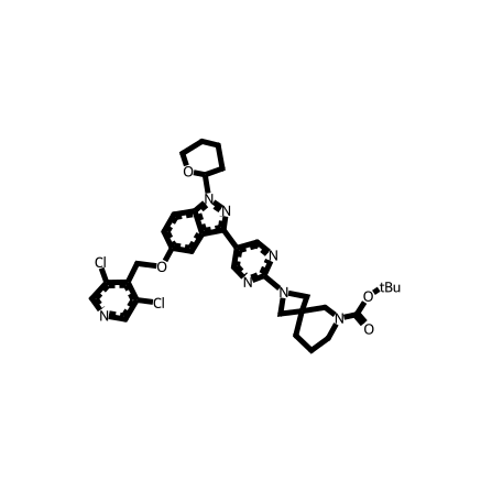 CC(C)(C)OC(=O)N1CCCC2(C1)CN(c1ncc(-c3nn(C4CCCCO4)c4ccc(OCc5c(Cl)cncc5Cl)cc34)cn1)C2